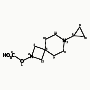 O=C(O)ON1CC2(CCN(C3CC3)CC2)C1